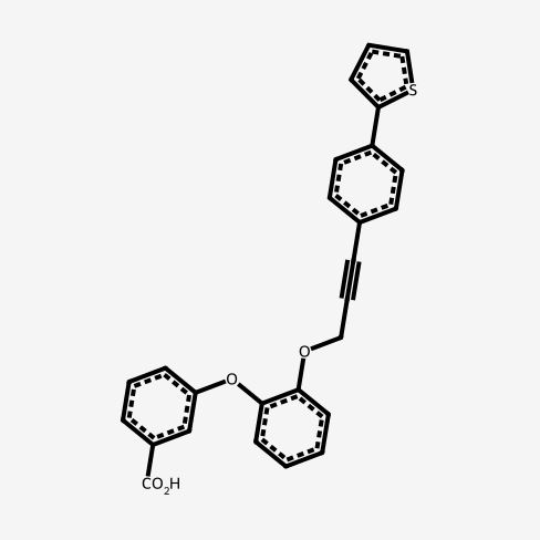 O=C(O)c1cccc(Oc2ccccc2OCC#Cc2ccc(-c3cccs3)cc2)c1